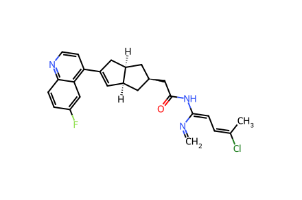 C=N/C(=C\C=C(/C)Cl)NC(=O)C[C@@H]1C[C@@H]2CC(c3ccnc4ccc(F)cc34)=C[C@@H]2C1